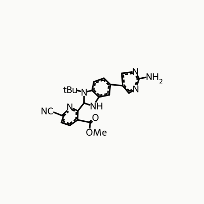 COC(=O)c1ccc(C#N)nc1C1Nc2cc(-c3cnc(N)nc3)ccc2N1C(C)(C)C